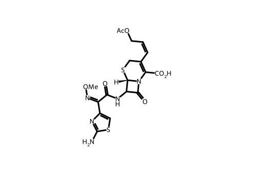 CO/N=C(\C(=O)NC1C(=O)N2C(C(=O)O)=C(/C=C\COC(C)=O)CS[C@@H]12)c1csc(N)n1